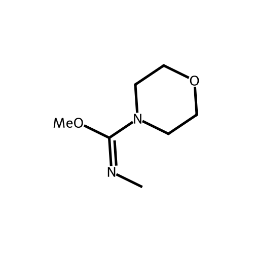 C/N=C(/OC)N1CCOCC1